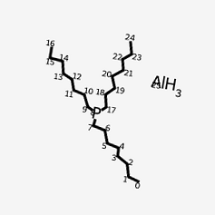 CCCCCCCCP(CCCCCCCC)CCCCCCCC.[AlH3]